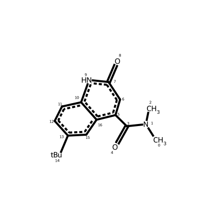 CN(C)C(=O)c1cc(=O)[nH]c2ccc(C(C)(C)C)cc12